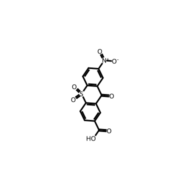 O=C(O)c1ccc2c(c1)C(=O)c1cc([N+](=O)[O-])ccc1S2(=O)=O